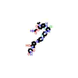 CNC(=O)COc1cc2c(F)c(Nc3cc(N4CCC(F)(CN5CCC6(CC5)CN(c5ccc7c(c5)CN(C5CCC(=O)NC5=O)C7O)C6)CC4)ncc3Cl)ccc2n(C(C)C)c1=O